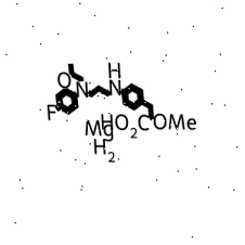 CO[C@@H](Cc1ccc(NCCCN2CC(C)Oc3cc(F)ccc32)cc1)C(=O)O.[MgH2]